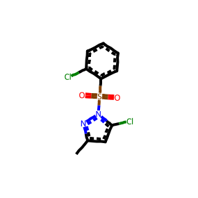 Cc1cc(Cl)n(S(=O)(=O)c2ccccc2Cl)n1